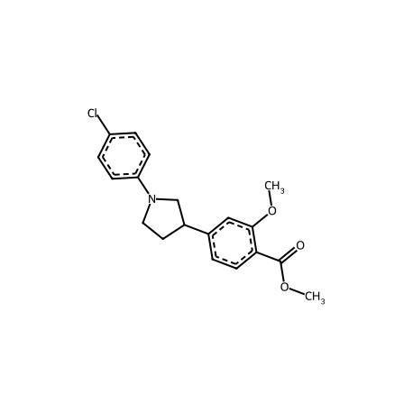 COC(=O)c1ccc(C2CCN(c3ccc(Cl)cc3)C2)cc1OC